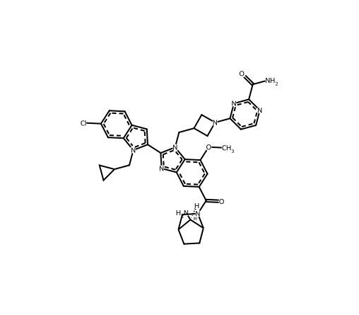 COc1cc(C(=O)N2CC3CCC2[C@@H]3N)cc2nc(-c3cc4ccc(Cl)cc4n3CC3CC3)n(CC3CN(c4ccnc(C(N)=O)n4)C3)c12